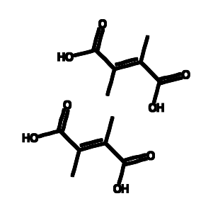 CC(C(=O)O)=C(C)C(=O)O.CC(C(=O)O)=C(C)C(=O)O